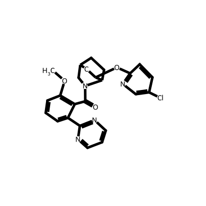 COc1cccc(-c2ncccn2)c1C(=O)N1CC2CCC1C(Oc1ccc(Cl)cn1)C2